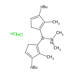 CCCCC1=CC[C]([Zr]([C]2=C(C)C(CCCC)=CC2)[SiH](C)C)=C1C.Cl.Cl